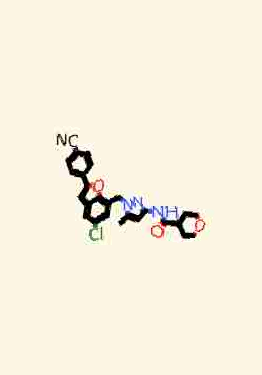 Cc1cc(NC(=O)C2CCOCC2)nn1Cc1cc(Cl)cc2cc(-c3ccc(C#N)cc3)oc12